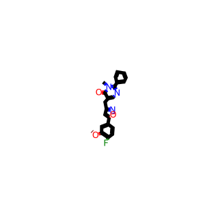 COc1cc(-c2cc(Cc3cnc(-c4ccccc4)n(C)c3=O)no2)ccc1F